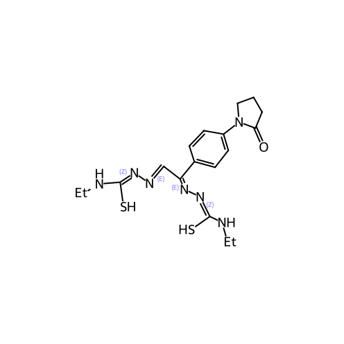 CCN/C(S)=N/N=C/C(=N/N=C(\S)NCC)c1ccc(N2CCCC2=O)cc1